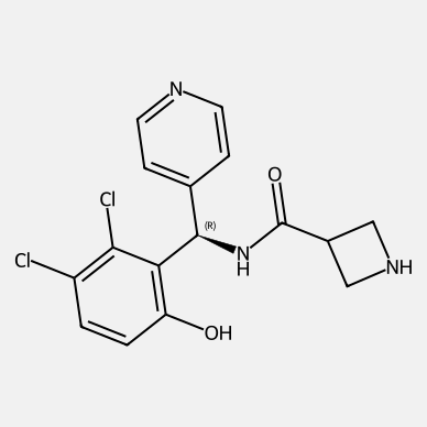 O=C(N[C@H](c1ccncc1)c1c(O)ccc(Cl)c1Cl)C1CNC1